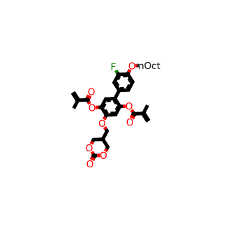 C=C(C)C(=O)Oc1cc(-c2ccc(OCCCCCCCC)c(F)c2)c(OC(=O)C(=C)C)cc1OCC1COC(=O)OC1